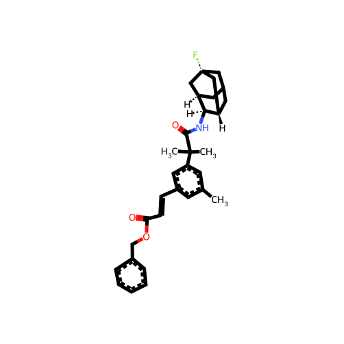 Cc1cc(/C=C/C(=O)OCc2ccccc2)cc(C(C)(C)C(=O)N[C@H]2[C@@H]3CC4C[C@H]2C[C@](F)(C4)C3)c1